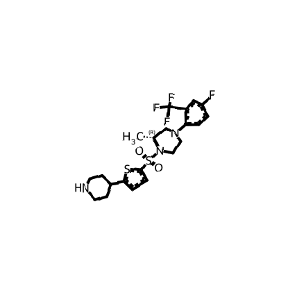 C[C@@H]1CN(c2ccc(F)cc2C(F)(F)F)CCN1S(=O)(=O)c1ccc(C2CCNCC2)s1